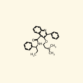 CCC(NC(=O)c1c(OCCN(C)C)c(-c2ccccc2)nc2ccccc12)c1ccccc1